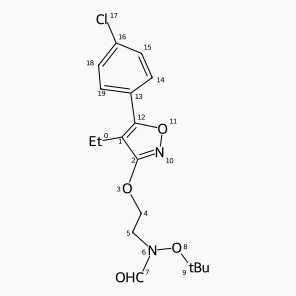 CCc1c(OCCN(C=O)OC(C)(C)C)noc1-c1ccc(Cl)cc1